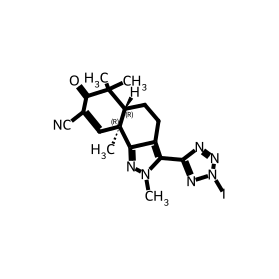 Cn1nc2c(c1-c1nnn(I)n1)CC[C@H]1C(C)(C)C(=O)C(C#N)=C[C@]21C